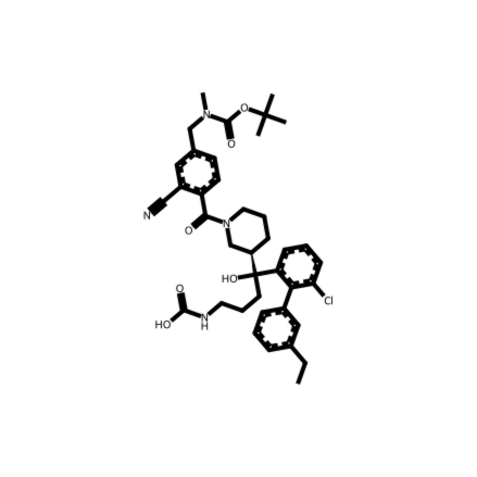 CCc1cccc(-c2c(Cl)cccc2C(O)(CCCNC(=O)O)[C@@H]2CCCN(C(=O)c3ccc(CN(C)C(=O)OC(C)(C)C)cc3C#N)C2)c1